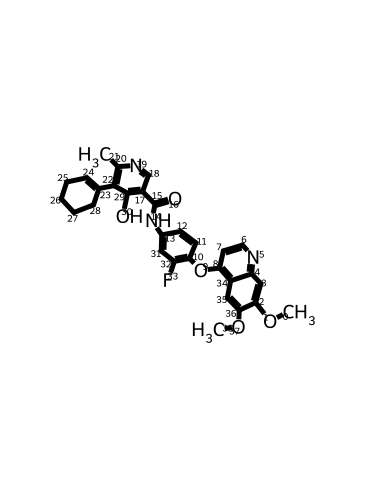 COc1cc2nccc(Oc3ccc(NC(=O)c4cnc(C)c(C5=CCCCC5)c4O)cc3F)c2cc1OC